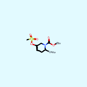 COC1CCC(OS(C)(=O)=O)CN1C(=O)OC(C)(C)C